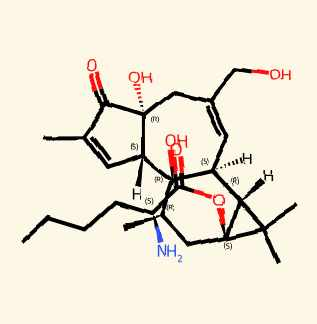 CCCC[C@H](N)C(=O)O[C@@]12C[C@@H](C)[C@@]3(O)[C@@H](C=C(CO)C[C@]4(O)C(=O)C(C)=C[C@@H]34)[C@@H]1C2(C)C